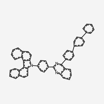 c1ccc(-c2ccc(-c3ccc(-c4nc(-c5ccc(-n6c7ccc8ccccc8c7c7c8ccccc8ccc76)cc5)nc5ccccc45)cc3)cc2)cc1